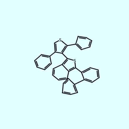 c1ccc(-c2ccccc2-c2sc(-c3c(-c4ccccc4)csc3-c3ccccc3)c3ccccc23)cc1